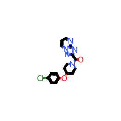 O=C(c1nc2ncccn2n1)N1CCC(Oc2ccc(Cl)cc2)CC1